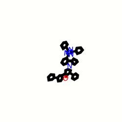 c1ccc(-c2ccc3oc4c(-c5ccccc5)cc(-n5c6ccccc6c6c(-c7nc(-c8ccccc8)nc(-c8ccccc8)n7)cccc65)cc4c3c2)cc1